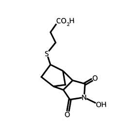 O=C(O)CCSC1CC2CC1C1C(=O)N(O)C(=O)C21